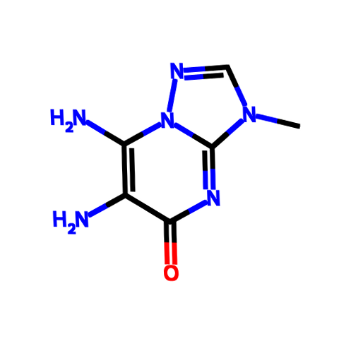 Cn1cnn2c(N)c(N)c(=O)nc12